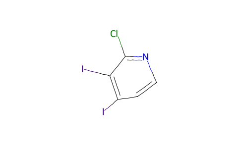 Clc1nccc(I)c1I